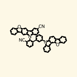 N#Cc1ccc2c(c1)c1cc3oc4ccccc4c3cc1n2-c1c(C#N)cccc1-c1cccc(-n2c3ccccc3c3c4oc5ccccc5c4ccc32)c1